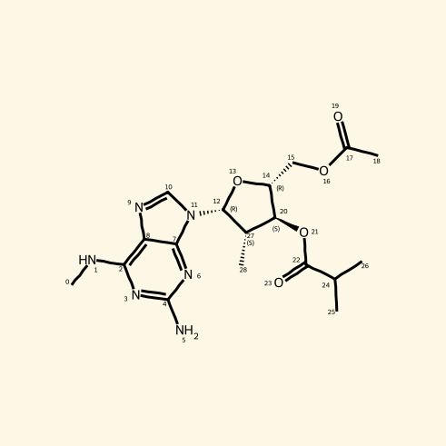 CNc1nc(N)nc2c1ncn2[C@@H]1O[C@H](COC(C)=O)[C@@H](OC(=O)C(C)C)[C@@H]1C